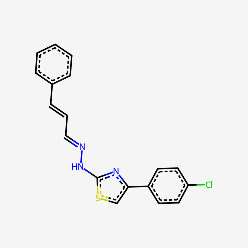 Clc1ccc(-c2csc(N/N=C/C=C/c3ccccc3)n2)cc1